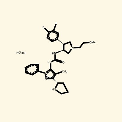 COCCN1C[C@@H](NC(=O)Nc2c(C)c([C@@H]3CCCN3)nn2-c2ccccc2)[C@H](c2ccc(F)c(F)c2)C1.Cl.Cl